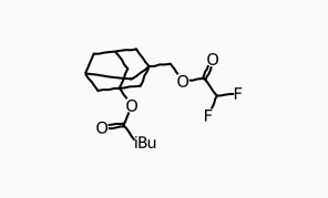 CCC(C)C(=O)OC12CC3CC(CC(COC(=O)C(F)F)(C3)C1)C2